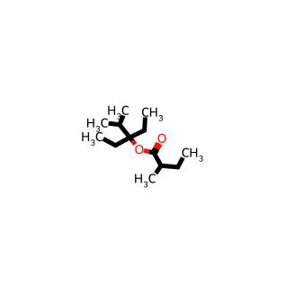 CCC(C)C(=O)OC(CC)(CC)C(C)C